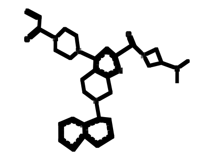 C=CC(=O)N1CCN(c2cc(C(=O)N3CC(N(C)C)C3)nc3c2CCN(c2cccc4ccccc24)C3)CC1